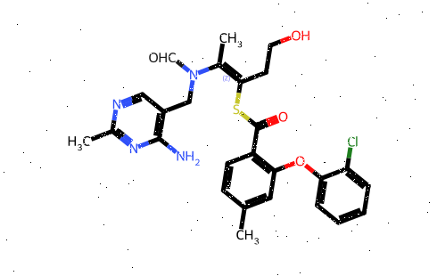 C/C(=C(\CCO)SC(=O)c1ccc(C)cc1Oc1ccccc1Cl)N(C=O)Cc1cnc(C)nc1N